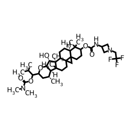 CC(C)C(OC(=O)N(C)C)C1C[C@@H](C)[C@H]2C(O1)[C@H](O)[C@@]1(C)C3CC[C@H]4C(C)(C)C(OC(=O)NC5CN(CC(F)(F)F)C5)CCC45CC35CCC21C